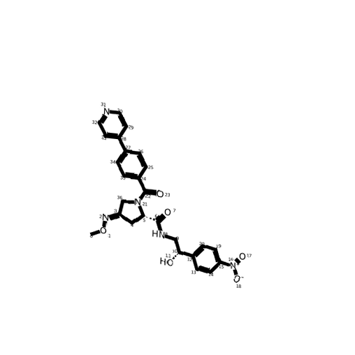 CO/N=C1\C[C@@H](C(=O)NC[C@@H](O)c2ccc([N+](=O)[O-])cc2)N(C(=O)c2ccc(-c3ccncc3)cc2)C1